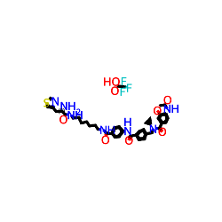 N[C@@H](Cc1cscn1)C(=O)NCCCCCCCNC(=O)c1ccc(NC(=O)c2ccc(CN(C(=O)c3ccc4c(c3)OCC(=O)N4)C3CC3)cc2)cc1.O=C(O)C(F)(F)F